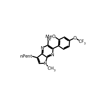 CCCCCc1cn(C)c2nc(-c3ccc(OC(F)(F)F)cc3OC)c(Br)nc12